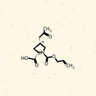 C=CCOC(=O)N1C[C@@H](CC(C)=O)C[C@H]1C(=O)O